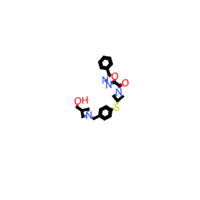 O=C(c1nnc(-c2ccccc2)o1)N1CC(Sc2ccc(CN3CC(CO)C3)cc2)C1